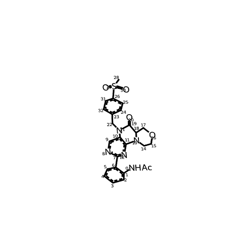 CC(=O)Nc1ccccc1-c1ncc2c(n1)N1CCOCC1C(=O)N2Cc1ccc(S(C)(=O)=O)cc1